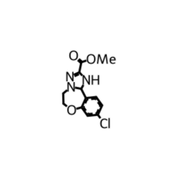 COC(=O)C1=NN2CCOc3cc(Cl)ccc3C2N1